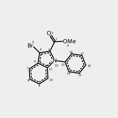 COC(=O)c1c(Br)c2ccccc2n1-c1ccccc1